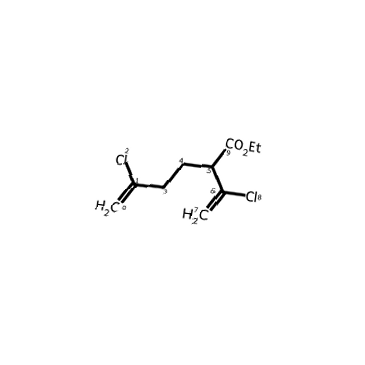 C=C(Cl)CCC(C(=C)Cl)C(=O)OCC